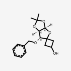 CC1(C)O[C@H]2OC3(CC(O)C3)[C@H](OCc3ccccc3)[C@H]2O1